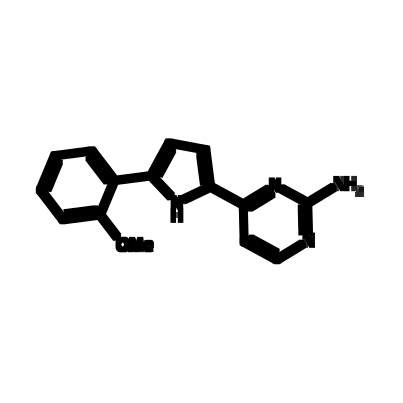 COc1ccccc1-c1ccc(-c2ccnc(N)n2)[nH]1